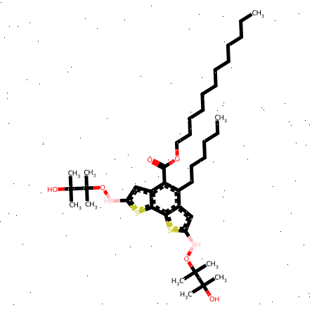 CCCCCCCCCCCCOC(=O)c1c(CCCCCC)c2cc(BOC(C)(C)C(C)(C)O)sc2c2sc(BOC(C)(C)C(C)(C)O)cc12